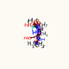 CCN(c1cc(O)c(F)cc1Nc1nc(Nc2cc(OCCCO)c(N3CCC(NC(=O)CN(C)C)CC3)cc2OC)ncc1Br)S(C)(=O)=O